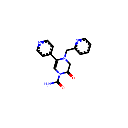 NC(=O)N1C=C(c2ccncc2)N(Cc2ccccn2)CC1=O